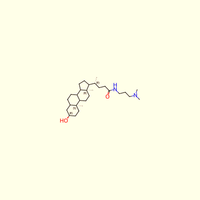 C[C@H](CCC(=O)NCCCN(C)C)C1CCC2C3CCC4C[C@H](O)CC[C@]4(C)C3CC[C@@]21C